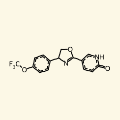 O=c1ccc(C2=NC(c3ccc(OC(F)(F)F)cc3)CO2)c[nH]1